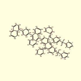 CC(C)(c1ccccc1)c1ccc2c(c1)B1c3cc(C(C)(C)c4ccccc4)ccc3N(c3ccccc3)c3cc(-c4c5ccccc5c(-c5ccc(-c6cccc7ccccc67)cc5)c5ccccc45)cc(c31)N2c1ccccc1